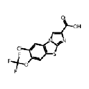 O=C(O)c1cn2c(n1)sc1cc(OC(F)(F)F)c(Cl)cc12